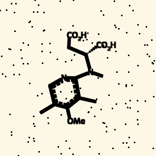 COc1c(C)cnc(N(C)[C@H](CC(=O)O)C(=O)O)c1C